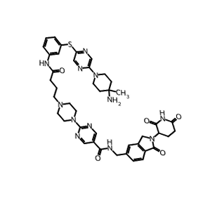 CC1(N)CCN(c2cnc(Sc3cccc(NC(=O)CCCN4CCN(c5ncc(C(=O)NCc6ccc7c(c6)CN(C6CCC(=O)NC6=O)C7=O)cn5)CC4)c3)cn2)CC1